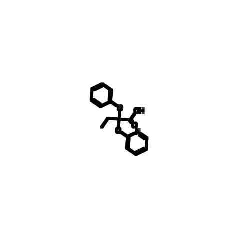 CCC(Oc1ccccc1)(Oc1ccccn1)C(=O)O